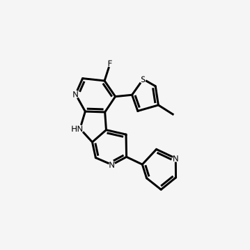 Cc1csc(-c2c(F)cnc3[nH]c4cnc(-c5cccnc5)cc4c23)c1